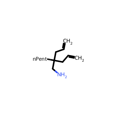 C=CCC(CN)(CC=C)CCCCC